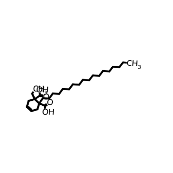 CCCCCCCCCCCCCCCCCCC1(C(=O)O)CC=CCC1(CC)C(=O)O